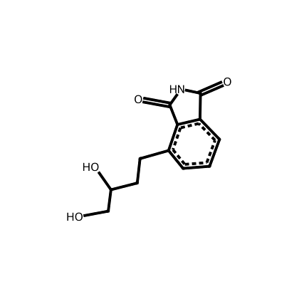 O=C1NC(=O)c2c(CCC(O)CO)cccc21